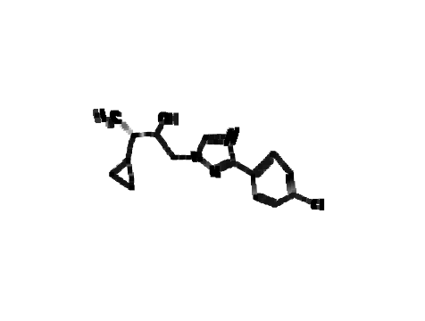 C[C@H](C(O)Cn1cnc(-c2ccc(Cl)cc2)n1)C1CC1